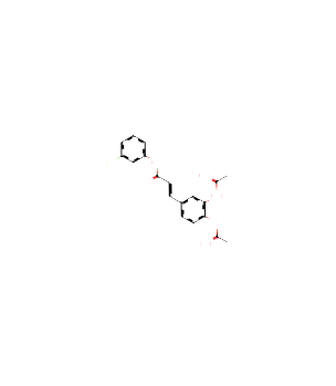 CC(=O)Oc1ccc(/C=C/C(=O)Oc2cccc(F)c2)cc1OC(C)=O